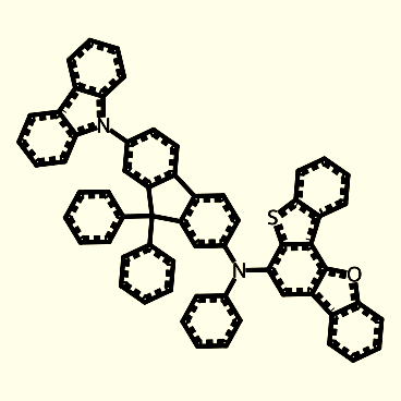 c1ccc(N(c2ccc3c(c2)C(c2ccccc2)(c2ccccc2)c2cc(-n4c5ccccc5c5ccccc54)ccc2-3)c2cc3c4ccccc4oc3c3c2sc2ccccc23)cc1